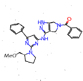 COC[C@@H]1CCCN1c1nc(Nc2n[nH]c3c2CN(C(=O)c2ccccc2)C3)cc(-c2ccccc2)n1